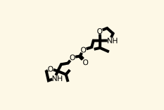 CC(C)C1(CCOC(=O)OCCC2(C(C)C)NCCO2)NCCO1